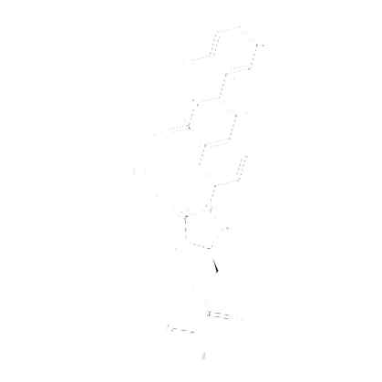 CC(C)[C@H](N)C(=O)OC[C@@H]1CN(c2ccc3cc(-c4ccccc4C(F)(F)F)[nH]c(=O)c3c2)C(=O)O1.Cl